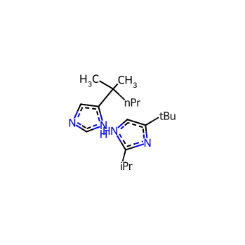 CC(C)c1nc(C(C)(C)C)c[nH]1.CCCC(C)(C)c1cnc[nH]1